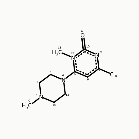 CN1CCN(c2cc(Cl)nc(=O)n2C)CC1